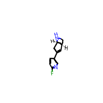 Fc1ccc(C2=C[C@@H]3CN[C@@H]3C2)cn1